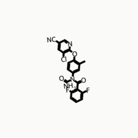 Cc1cc(N(C(N)=O)C(=O)c2c(F)cccc2F)ccc1Oc1ncc(C#N)cc1Cl